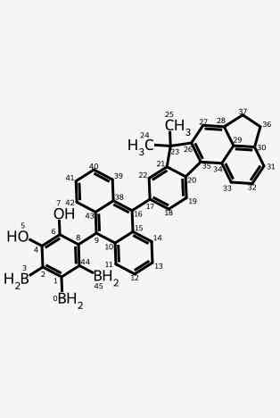 Bc1c(B)c(O)c(O)c(-c2c3ccccc3c(-c3ccc4c(c3)C(C)(C)c3cc5c6c(cccc6c3-4)CC5)c3ccccc23)c1B